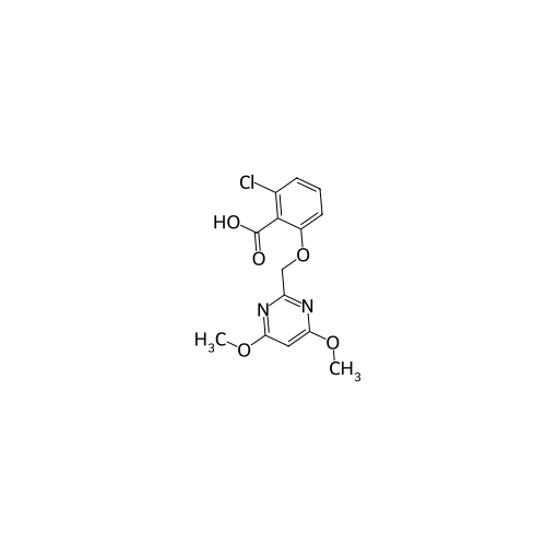 COc1cc(OC)nc(COc2cccc(Cl)c2C(=O)O)n1